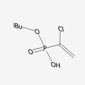 C=C(Cl)P(=O)(O)OC(C)CC